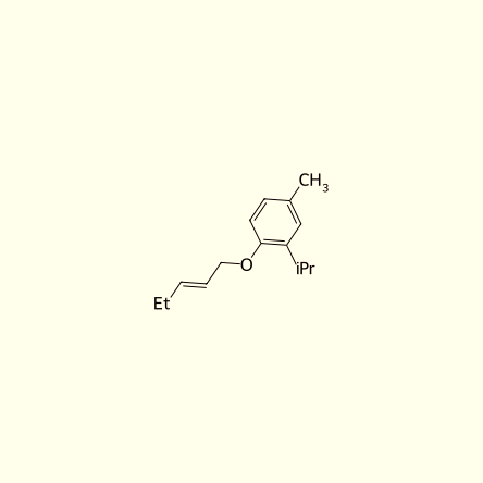 CC/C=C/COc1ccc(C)cc1C(C)C